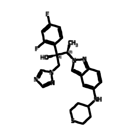 C[C@@H](n1cc2cc(NC3CCSCC3)ccc2n1)[C@](O)(Cn1cncn1)c1ccc(F)cc1F